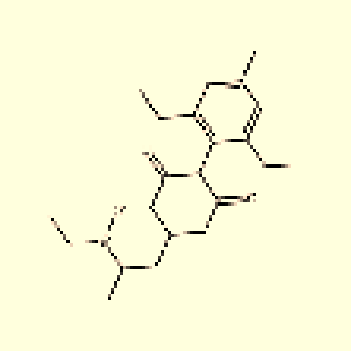 CCc1cc(C)cc(CC)c1C1C(=O)CC(CC(C)[S+]([O-])CC)CC1=O